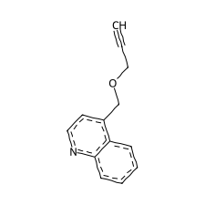 C#CCOCc1ccnc2ccccc12